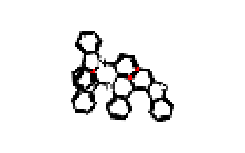 c1ccc(N(c2ccccc2-n2c3ccccc3c3ccccc32)c2cccc3ccccc23)c(-c2cccc3sc4ccccc4c23)c1